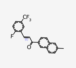 Cc1ccc2cc(C(=O)/C=C/c3cc(C(F)(F)F)ccc3F)ccc2c1